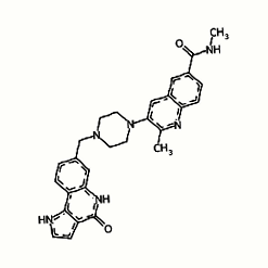 CNC(=O)c1ccc2nc(C)c(N3CCN(Cc4ccc5c(c4)[nH]c(=O)c4cc[nH]c45)CC3)cc2c1